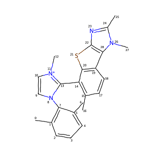 Cc1cccc(C)c1-n1cc[n+](C)c1-c1c(C)ccc2c1sc1nc(C)n(C)c12